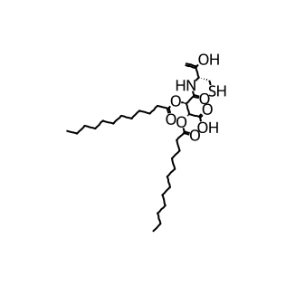 C=C(O)[C@H](CS)NC(=O)[C@H](OC(=O)CCCCCCCCCCC)[C@@H](OC(=O)CCCCCCCCCCC)C(=O)O